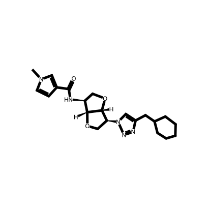 Cn1ccc(C(=O)N[C@H]2CO[C@H]3[C@@H]2OC[C@@H]3n2cc(CC3CCCCC3)nn2)c1